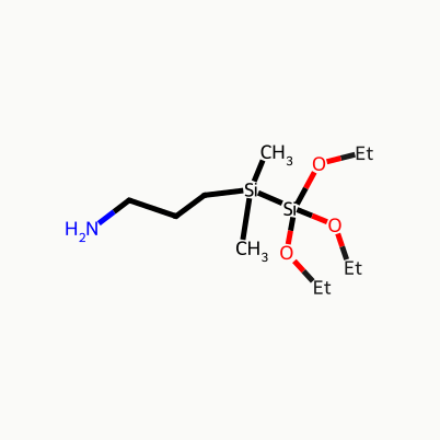 CCO[Si](OCC)(OCC)[Si](C)(C)CCCN